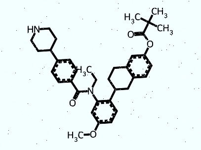 CCN(C(=O)c1ccc(C2CCNCC2)cc1)c1cc(OC)ccc1C1CCc2cc(OC(=O)C(C)(C)C)ccc2C1